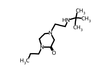 CCCN1CCN(CCNC(C)(C)C)CC1=O